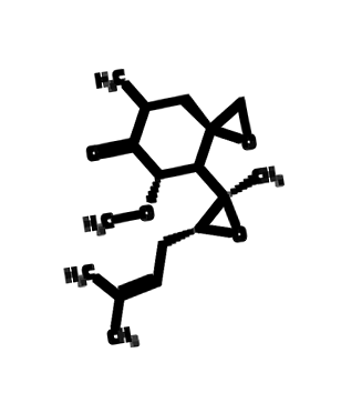 CO[C@@H]1C(=O)C(C)C[C@]2(CO2)C1[C@@]1(C)O[C@@H]1CC=C(C)C